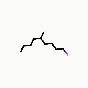 CCCCC(C)CCCCI